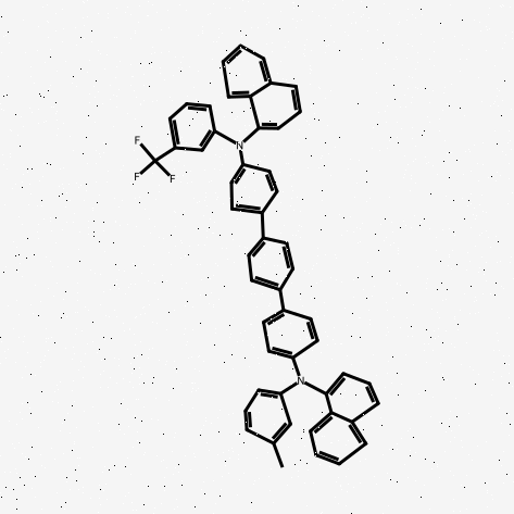 Cc1cccc(N(c2ccc(-c3ccc(-c4ccc(N(c5cccc(C(F)(F)F)c5)c5cccc6ccccc56)cc4)cc3)cc2)c2cccc3ccccc23)c1